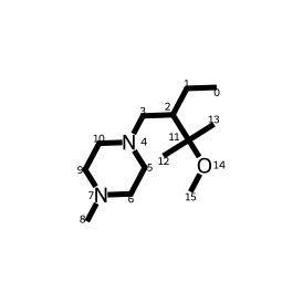 CCC(CN1CCN(C)CC1)C(C)(C)OC